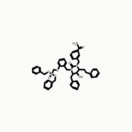 NC(=O)c1cccc(CN2C(=O)N(Cc3ccccc3OCP(=O)(OCc3ccccc3)OCc3ccccc3)C(Cc3ccccc3)C(O)C2CCc2ccccc2)c1